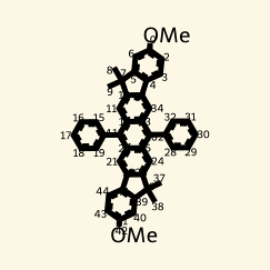 COc1ccc2c(c1)C(C)(C)c1cc3c(-c4ccccc4)c4cc5c(cc4c(-c4ccccc4)c3cc1-2)C(C)(C)c1cc(OC)ccc1-5